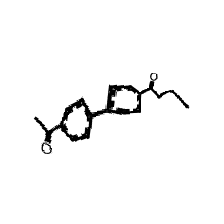 CCCC(=O)c1ccc(-c2ccc(C(C)=O)cc2)cc1